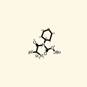 CC(C)C(N)C(=O)N(C(=O)OC(C)(C)C)C1CCCCC1